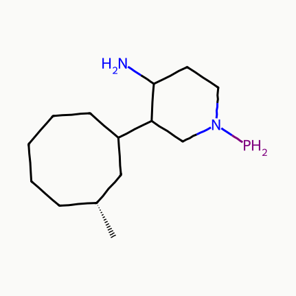 C[C@@H]1CCCCCC(C2CN(P)CCC2N)C1